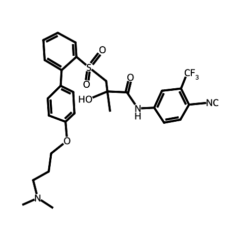 [C-]#[N+]c1ccc(NC(=O)C(C)(O)CS(=O)(=O)c2ccccc2-c2ccc(OCCCN(C)C)cc2)cc1C(F)(F)F